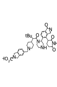 CC(C)(C)C(C(=O)N1CCNCC1c1ccc2c(c1C1CCC(=O)NC1=O)C=NC2=O)C1CCN(Cc2ccc3c(c2)CN(C(=O)O)C3)CC1